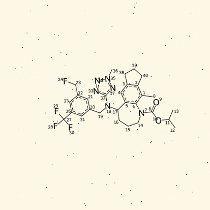 Cc1c2c(cc3c1N(C(=O)OC(C)C)CCCC3N(Cc1cc(CF)cc(C(F)(F)F)c1)c1nnn(C)n1)CCC2